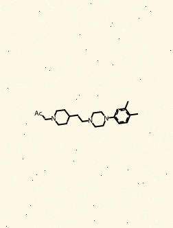 CC(=O)CN1CCC(CCN2CCN(c3ccc(C)c(C)c3)CC2)CC1